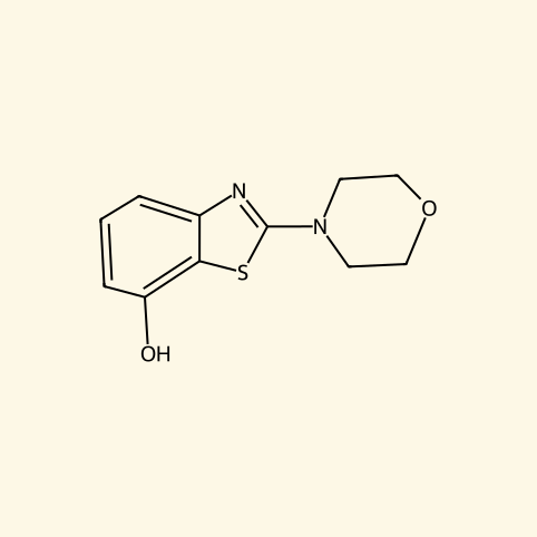 Oc1cccc2nc(N3CCOCC3)sc12